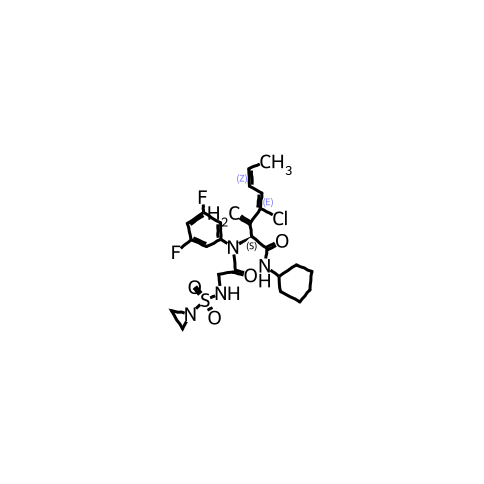 C=C(/C(Cl)=C\C=C/C)[C@@H](C(=O)NC1CCCCC1)N(C(=O)CNS(=O)(=O)N1CC1)c1cc(F)cc(F)c1